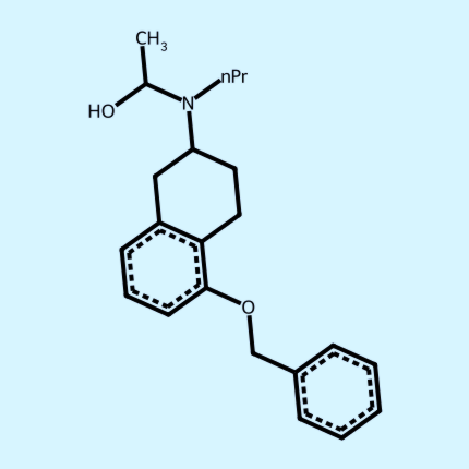 CCCN(C(C)O)C1CCc2c(cccc2OCc2ccccc2)C1